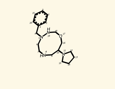 c1ccc(CN2CCNCC(N3CCCC3)COCN2)cc1